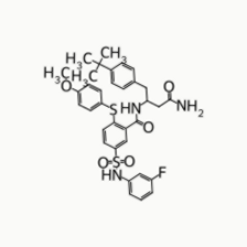 COc1ccc(Sc2ccc(S(=O)(=O)Nc3cccc(F)c3)cc2C(=O)NC(CC(N)=O)Cc2ccc(C(C)(C)C)cc2)cc1